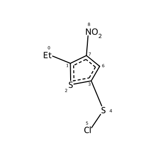 CCc1sc(SCl)cc1[N+](=O)[O-]